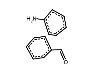 Nc1ccccc1.O=Cc1ccccc1